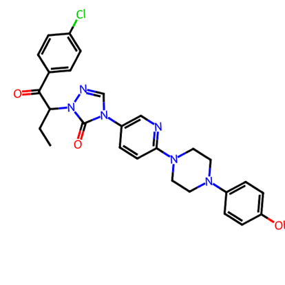 CCC(C(=O)c1ccc(Cl)cc1)n1ncn(-c2ccc(N3CCN(c4ccc(O)cc4)CC3)nc2)c1=O